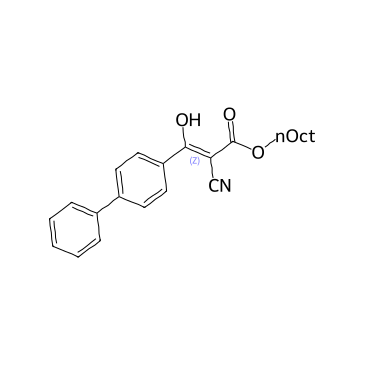 CCCCCCCCOC(=O)/C(C#N)=C(\O)c1ccc(-c2ccccc2)cc1